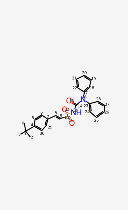 CC(C)(C)c1ccc(C=CS(=O)(=O)NC(=O)N(c2ccccc2)c2ccccc2)cc1